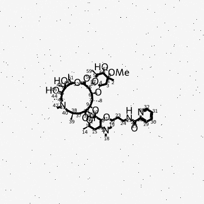 CO[C@]1(C)C[C@H](O[C@H]2[C@H](C)[C@@H](O[C@@H]3O[C@H](C)C[C@H](N(C)C)[C@H]3OCCCNC(=O)c3ccccn3)[C@](C)(O)C[C@@H](C)CN(C)[C@H](C)[C@@H](O)[C@](C)(O)[C@@H](I)OC(=O)[C@@H]2C)O[C@@H](C)[C@@H]1O